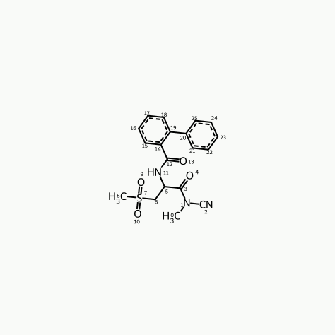 CN(C#N)C(=O)C(CS(C)(=O)=O)NC(=O)c1ccccc1-c1ccccc1